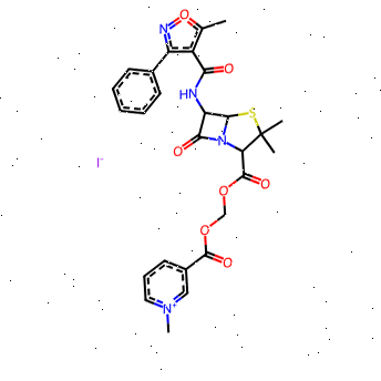 Cc1onc(-c2ccccc2)c1C(=O)NC1C(=O)N2C1SC(C)(C)C2C(=O)OCOC(=O)c1ccc[n+](C)c1.[I-]